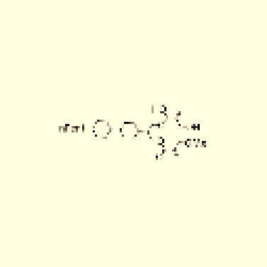 C=C(COC)C(=O)OCC(COC(O)C(=C)CO)C1CCC(C2CCC(CCCCC)CC2)CC1